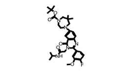 COc1cc(-c2nc3ccc(N4CCN(C(=O)OC(C)(C)C)CC(C)(C)C4)cc3c(=O)n2CC(=O)NC(C)C)ccc1F